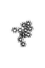 c1ccc(-c2cccc(-c3nc(-c4cccc(-c5ccccc5)c4)nc(-c4ccccc4-c4ccc5c(c4)C4(c6ccccc6-c6ccccc64)c4ccccc4-5)n3)c2)cc1